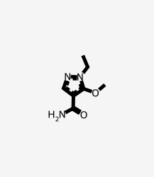 CCn1ncc(C(N)=O)c1OC